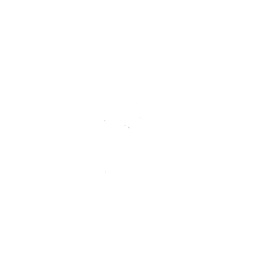 CCOC(=O)N(CSCl)C(C)=O